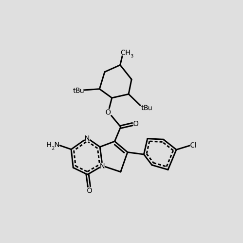 CC1CC(C(C)(C)C)C(OC(=O)C2=C(c3ccc(Cl)cc3)Cn3c2nc(N)cc3=O)C(C(C)(C)C)C1